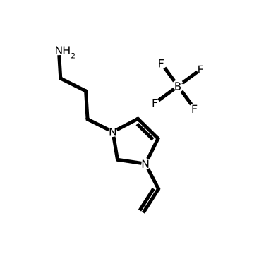 C=CN1C=CN(CCCN)C1.F[B-](F)(F)F